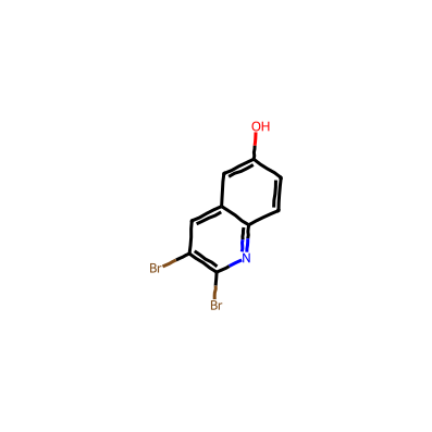 Oc1ccc2nc(Br)c(Br)cc2c1